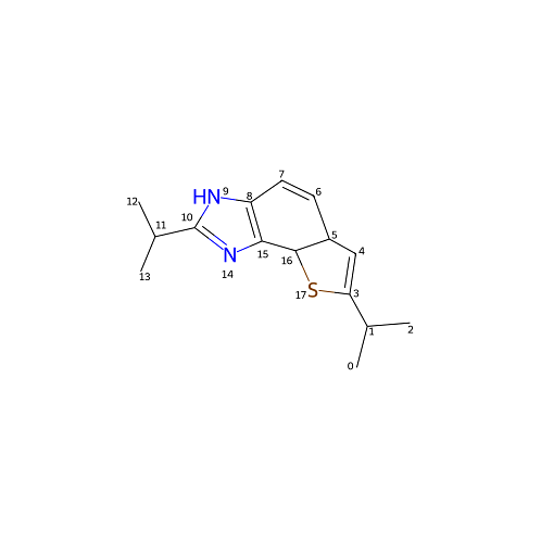 CC(C)C1=CC2C=Cc3[nH]c(C(C)C)nc3C2S1